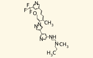 CCCN(C)CCNc1cncc(-c2cnn(C(=C/C=O)/C(C)=C\C=C\c3cncc(C(F)(F)F)c3)c2)c1